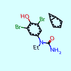 CCN(C(N)=O)c1cc(Br)c(O)c(Br)c1.c1cc2cc-2c1